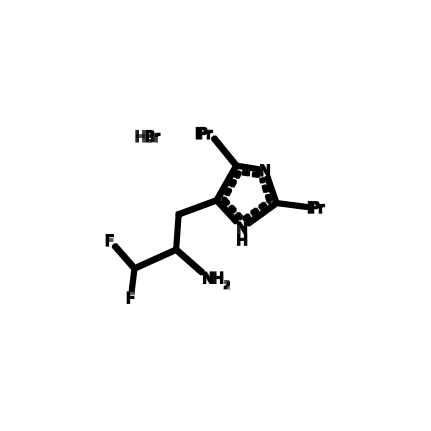 Br.CC(C)c1nc(C(C)C)c(CC(N)C(F)F)[nH]1